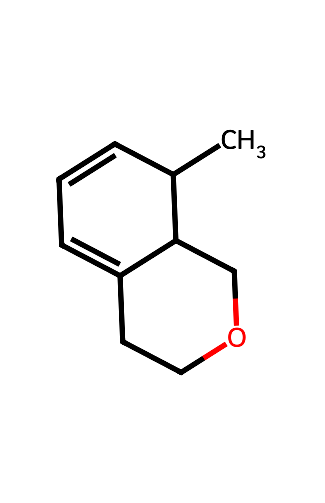 CC1C=CC=C2CCOCC21